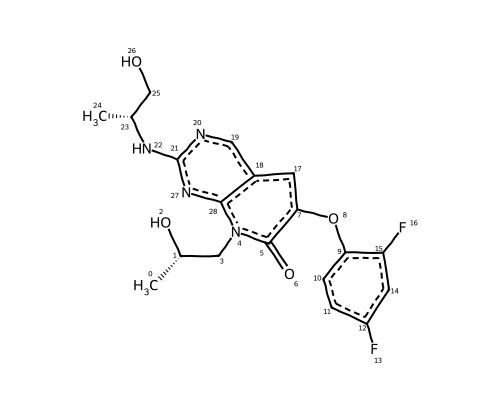 C[C@H](O)Cn1c(=O)c(Oc2ccc(F)cc2F)cc2cnc(N[C@H](C)CO)nc21